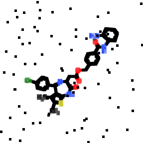 Cc1sc2c(c1C)C(c1ccc(Cl)cc1)=NC(CC(=O)OCc1ccc(C(=O)Nc3ccccc3N)cc1)C(=O)N2